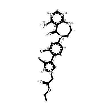 CCOC(=O)Cn1cc(-c2ccc(N3CCOc4ncnc(N)c4C3=O)cc2Cl)c(C)n1